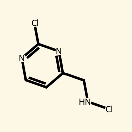 ClNCc1ccnc(Cl)n1